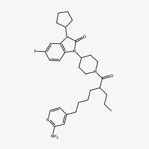 CCCC(CCCCc1ccnc(N)c1)C(=O)N1CCC(n2c(=O)n(C3CCCC3)c3cc(F)ccc32)CC1